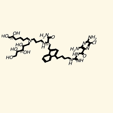 N=C(NCCCCc1ccc(CC[C@H](NCCCN(CCCC[C@H](O)CO)C[C@H](O)[C@@H](O)[C@H](O)CO)C(N)=O)c2ccccc12)NC(=O)c1nc(Cl)c(N)nc1N